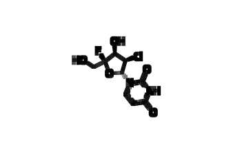 O=c1ccn([C@@H]2O[C@](F)(CO)[C@@H](O)[C@H]2Cl)c(=O)[nH]1